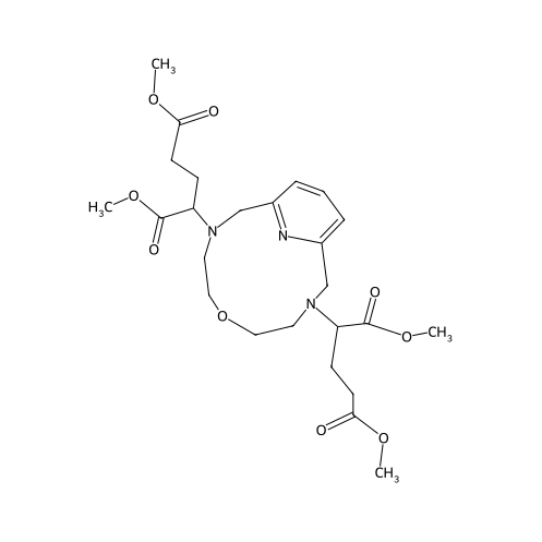 COC(=O)CCC(C(=O)OC)N1CCOCCN(C(CCC(=O)OC)C(=O)OC)Cc2cccc(n2)C1